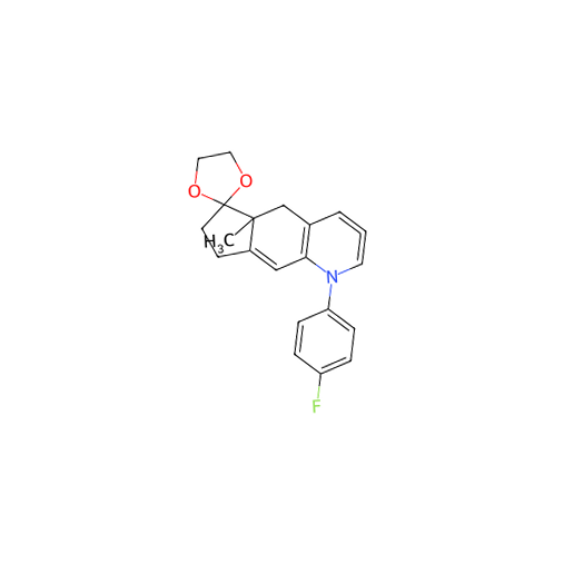 CC12CC3=C(C=C1CCC21OCCO1)N(c1ccc(F)cc1)C=C=C3